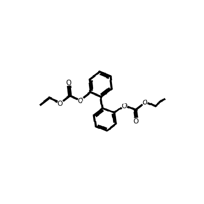 CCOC(=O)Oc1ccccc1-c1ccccc1OC(=O)OCC